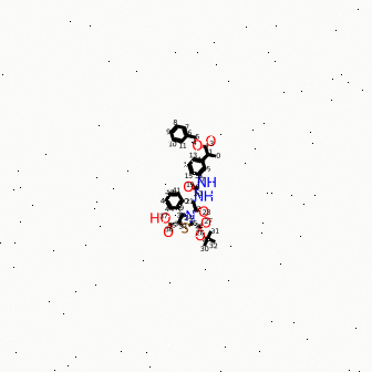 CC(C(=O)OCc1ccccc1)c1cccc(NC(=O)NCC(=O)N2[C@H](C(=O)OC(C)(C)C)S[C@H](C(=O)O)[C@@H]2c2ccccc2)c1